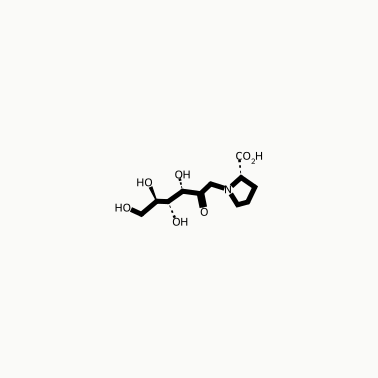 O=C(CN1CCC[C@H]1C(=O)O)[C@@H](O)[C@H](O)[C@H](O)CO